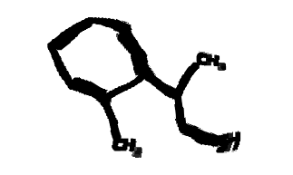 Cc1ccccc1C(C)CS